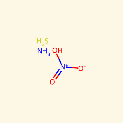 N.O=[N+]([O-])O.S